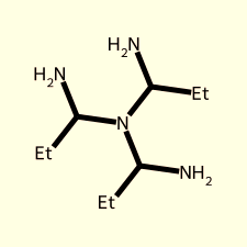 CCC(N)N(C(N)CC)C(N)CC